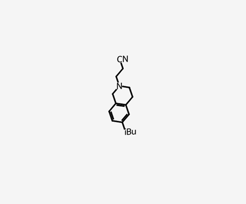 CCC(C)c1ccc2c(c1)CCN(CCC#N)C2